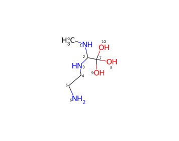 CNC(NCCN)C(O)(O)O